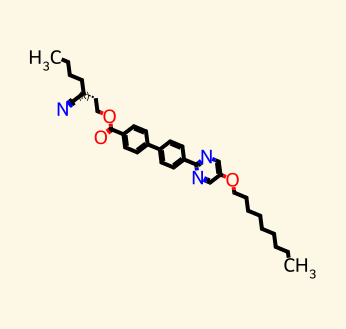 CCCCCCCCCOc1cnc(-c2ccc(-c3ccc(C(=O)OCC[C@H](C#N)CCCC)cc3)cc2)nc1